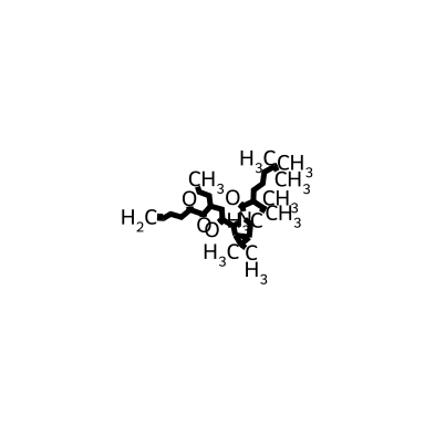 C=CCCC(=O)C(=O)C(CCC)CC(=O)C1C2C(CN1C(=O)C(CCCC(C)(C)C)C(C)(C)C)C2(C)C